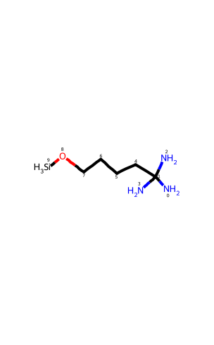 NC(N)(N)CCCCO[SiH3]